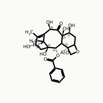 CC(=O)O[C@@]12COC1C[C@H](O)[C@@]1(C)C(=O)[C@H](O)C3=C(C)[C@@H](O)C[C@@](O)([C@@H](OC(=O)c4ccccc4)C21)C3(C)C